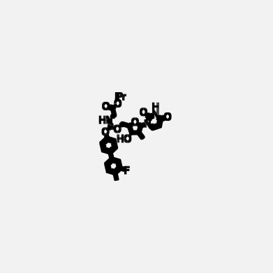 Cc1ccc(-c2ccc(OP(NCC(=O)OC(C)C)OCC3OC(n4ccc(=O)[nH]c4=O)C(C)[C@@H]3O)cc2)cc1F